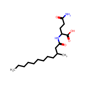 CCCCCCCCCC(C)CC(=O)NC(CCC(N)=O)C(=O)O